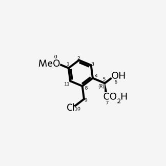 COc1ccc([C@@H](O)C(=O)O)c(CCl)c1